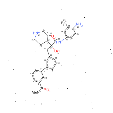 CNC(=O)c1cccc(-c2cccc(CC(O)(C(=O)Nc3ccc(N)c(C(F)(F)F)c3)C3CCNCC3)c2)c1